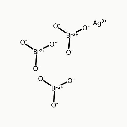 [Ag+3].[O-][Br+2]([O-])[O-].[O-][Br+2]([O-])[O-].[O-][Br+2]([O-])[O-]